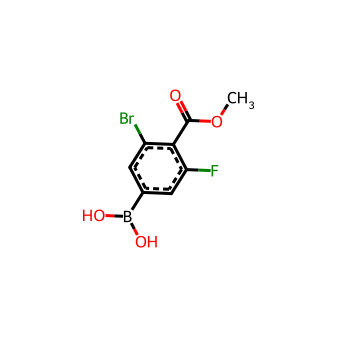 COC(=O)c1c(F)cc(B(O)O)cc1Br